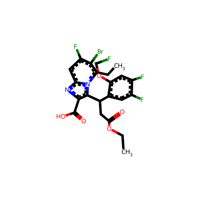 CCOC(=O)CC(c1cc(F)c(F)cc1OC(F)F)c1c(C(=O)O)nc2cc(F)c(Br)c(CC)n12